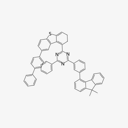 CC1(C)c2ccccc2-c2c(-c3cccc(-c4nc(C5=c6c(sc7ccc(-c8ccc(-c9ccccc9)cc8)cc67)=CCC5)nc(-c5ccccc5)n4)c3)cccc21